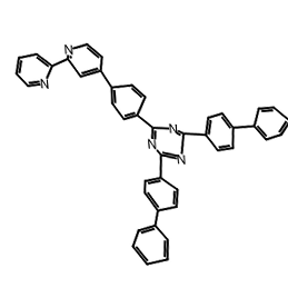 c1ccc(-c2ccc(-c3nc(-c4ccc(-c5ccccc5)cc4)nc(-c4ccc(-c5ccnc(-c6ccccn6)c5)cc4)n3)cc2)cc1